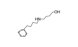 OCCCCNCCCCc1ccccc1